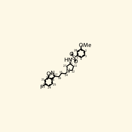 COc1cccc(S(=O)(=O)NC2CCN(CCCc3noc4cc(F)ccc34)C2)c1